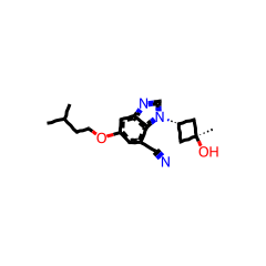 CC(C)CCOc1cc(C#N)c2c(c1)ncn2[C@H]1C[C@](C)(O)C1